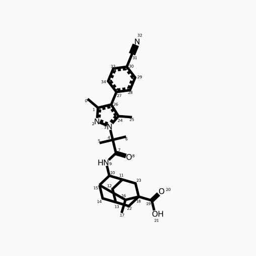 Cc1nn(C(C)(C)C(=O)NC2C3CC4CC2C(C)C(C(=O)O)(C4)C3)c(C)c1-c1ccc(C#N)cc1